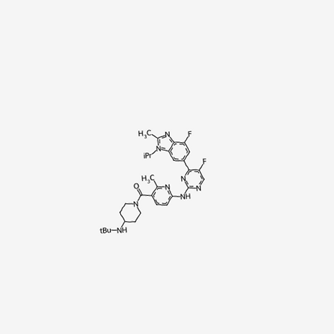 Cc1nc(Nc2ncc(F)c(-c3cc(F)c4nc(C)n(C(C)C)c4c3)n2)ccc1C(=O)N1CCC(NC(C)(C)C)CC1